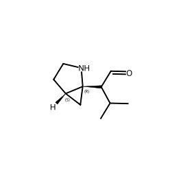 CC(C)C(C=O)[C@@]12C[C@@H]1CCN2